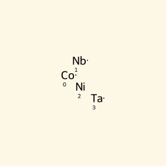 [Co].[Nb].[Ni].[Ta]